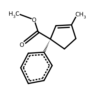 COC(=O)[C@@]1(c2ccccc2)C=C(C)CC1